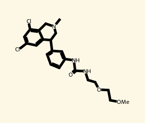 COCCOCCNC(=O)Nc1cccc(C2CN(C)Cc3c(Cl)cc(Cl)cc32)c1